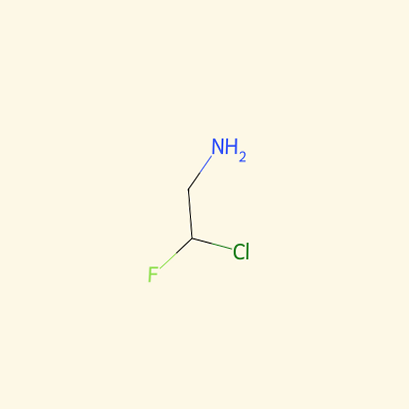 NCC(F)Cl